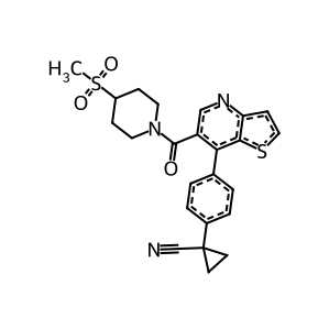 CS(=O)(=O)C1CCN(C(=O)c2cnc3ccsc3c2-c2ccc(C3(C#N)CC3)cc2)CC1